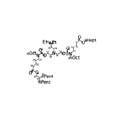 CCCCCCCCN(CCCCC(=O)OCCCCCCC)C(=O)OCCN(CCOC(=O)N(CCCCCCCC)CCCCC(=O)OCC(CCCCC)CCCCC)CCN(CC)CC